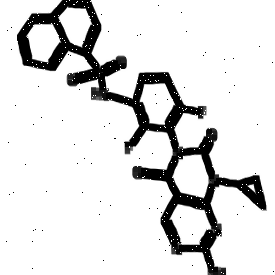 Nc1ncc2c(=O)n(-c3c(F)ccc(NS(=O)(=O)c4cccc5ccccc45)c3F)c(=O)n(C3CC3)c2n1